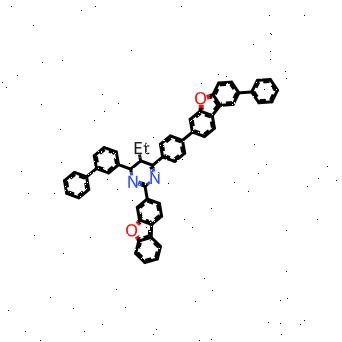 CCC1C(c2ccc(-c3ccc4c(c3)oc3ccc(-c5ccccc5)cc34)cc2)=NC(c2ccc3c(c2)oc2ccccc23)=NC1c1cccc(-c2ccccc2)c1